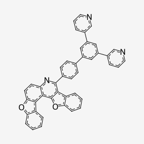 c1cncc(-c2cc(-c3ccc(-c4nc5ccc6oc7ccccc7c6c5c5oc6ccccc6c45)cc3)cc(-c3cccnc3)c2)c1